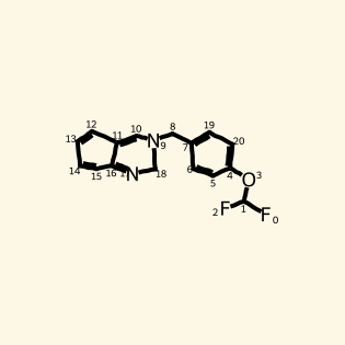 FC(F)Oc1ccc(CN2C=c3ccccc3=NC2)cc1